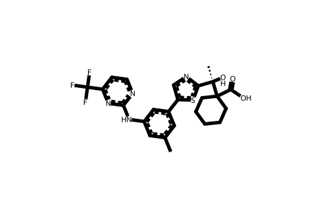 Cc1cc(Nc2nccc(C(F)(F)F)n2)cc(-c2cnc([C@@](C)(O)C3(C(=O)O)CCCCC3)s2)c1